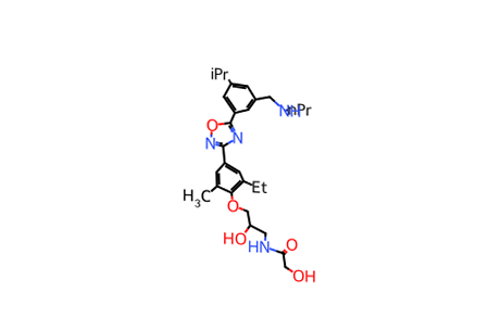 CCCNCc1cc(-c2nc(-c3cc(C)c(OCC(O)CNC(=O)CO)c(CC)c3)no2)cc(C(C)C)c1